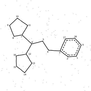 c1ccc(CC[C](C2CCCC2)C2CCCC2)cc1